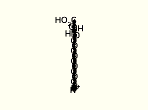 [N-]=[N+]=NCCOCCOCCOCCOCCOCCOCCOCCOCCOCCC(=O)NCCNC(=O)CCCC(=O)O